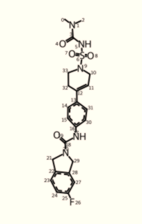 CN(C)C(=O)NS(=O)(=O)N1CC=C(c2ccc(NC(=O)N3Cc4ccc(F)cc4C3)cc2)CC1